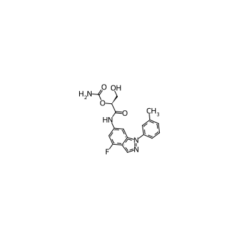 Cc1cccc(-n2ncc3c(F)cc(NC(=O)[C@H](CO)OC(N)=O)cc32)c1